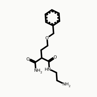 NCCNC(=O)C(CCOCc1ccccc1)C(N)=O